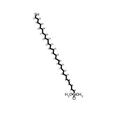 C[Si](C)(Cl)CCCCCCCCCCCCCCCCCCCCCCCCCCCCCCS